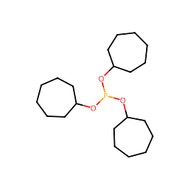 C1CCCC(OP(OC2CCCCCC2)OC2CCCCCC2)CC1